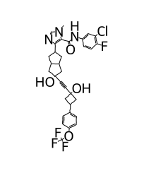 Cn1cnc(C2CC3CC(O)(C#CC4(O)CC(c5ccc(OC(F)(F)F)cc5)C4)CC3C2)c1C(=O)Nc1ccc(F)c(Cl)c1